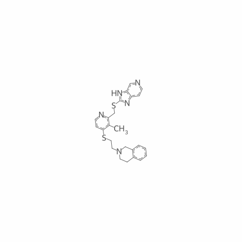 Cc1c(SCCN2CCc3ccccc3C2)ccnc1CSc1nc2ccncc2[nH]1